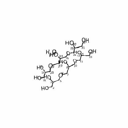 O.OCC(O)COCC(O)COCC(O)CO.OCC(O)COCC(O)COCC(O)CO